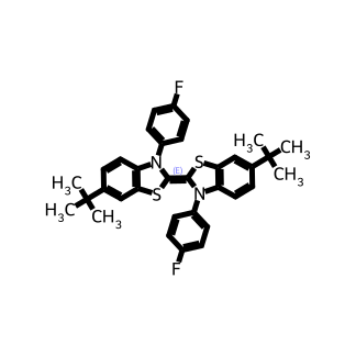 CC(C)(C)c1ccc2c(c1)S/C(=C1/Sc3cc(C(C)(C)C)ccc3N1c1ccc(F)cc1)N2c1ccc(F)cc1